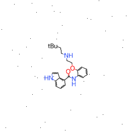 CC(C)(C)CCNCCOc1ccccc1NC(=O)c1cccc2[nH]ccc12